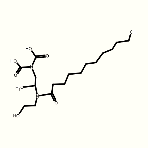 CCCCCCCCCCCC(=O)N(CCO)C(C)CN(C(=O)O)C(=O)O